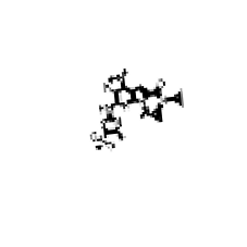 CCn1c(C(=O)N(C2CC2)C2CC2)cc2c3c(ncn3C)c(Nc3nc(C)c(S(C)(=O)=O)s3)nc21